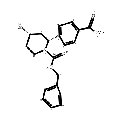 COC(=O)c1ccc([C@H]2C[C@@H](Br)CCN2C(=O)OCc2ccccc2)cc1